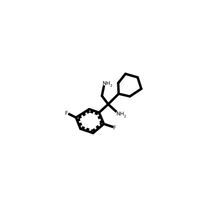 NCC(N)(c1cc(F)ccc1F)C1CCCCC1